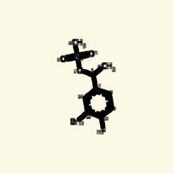 CC(OS(C)(=O)=O)c1ccc(F)c(Br)c1